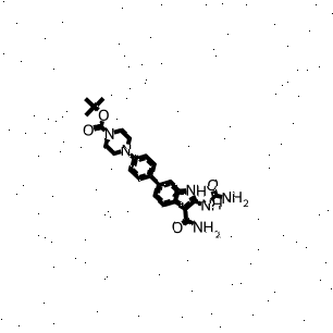 CC(C)(C)OC(=O)N1CCN(c2ccc(-c3ccc4c(C(N)=O)c(NC(N)=O)[nH]c4c3)cc2)CC1